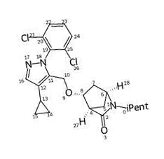 CCCC(C)N1C(=O)[C@@H]2C[C@H]1C[C@H]2OCc1c(C2CC2)cnn1-c1c(Cl)cccc1Cl